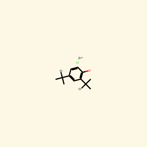 CCC(C)(C)c1ccc([O-])c(C(C)(C)CC)c1.[Cl-].[Zr+2]